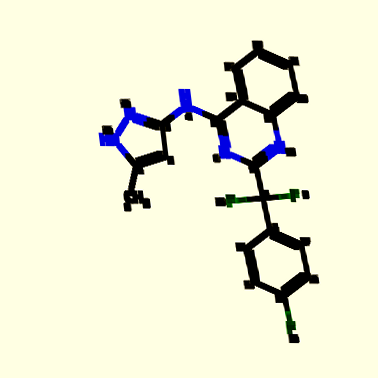 Cc1cc(Nc2nc(C(F)(F)c3ccc(F)cc3)nc3ccccc23)n[nH]1